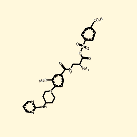 COc1cc(C(=O)NC[C@H](N)C(=O)OS(=O)(=O)c2ccc(C(=O)O)cc2)ccc1N1CCC(Nc2ncccn2)CC1